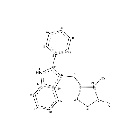 CC1CCC(Cc2c(-c3ccccc3)[nH]c3ccccc23)N1C